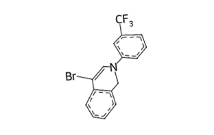 FC(F)(F)c1cccc(N2C=C(Br)c3ccccc3C2)c1